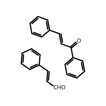 O=C(/C=C/c1ccccc1)c1ccccc1.O=CC=Cc1ccccc1